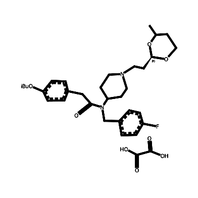 CC(C)COc1ccc(CC(=O)N(Cc2ccc(F)cc2)C2CCN(CC[C@@H]3OCCC(C)O3)CC2)cc1.O=C(O)C(=O)O